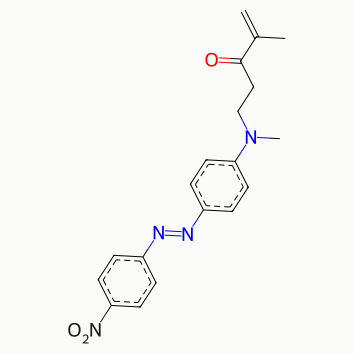 C=C(C)C(=O)CCN(C)c1ccc(N=Nc2ccc([N+](=O)[O-])cc2)cc1